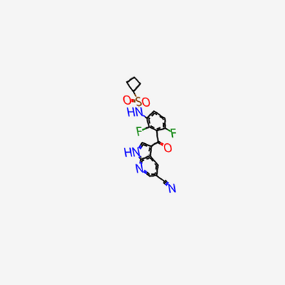 N#Cc1cnc2[nH]cc(C(=O)c3c(F)ccc(NS(=O)(=O)C4CCC4)c3F)c2c1